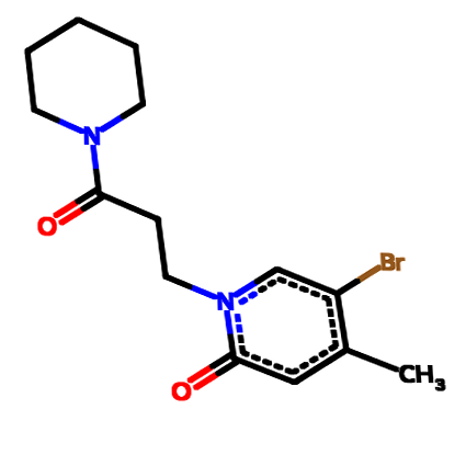 Cc1cc(=O)n(CCC(=O)N2CCCCC2)cc1Br